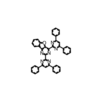 c1ccc(-c2cc(-c3ccccc3)nc(-c3nc(-c4nc(-c5ccccc5)cc(-c5ccccc5)n4)c4oc5ccccc5c4n3)n2)cc1